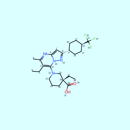 CCc1c(C)nc2cc([C@H]3CC[C@H](C(F)(F)F)CC3)nn2c1N1CCC[C@@](CC)(C(=O)O)C1